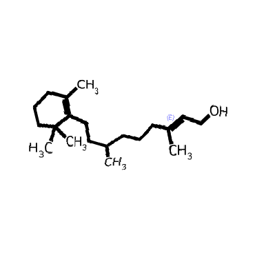 CC1=C(CCC(C)CCC/C(C)=C/CO)C(C)(C)CCC1